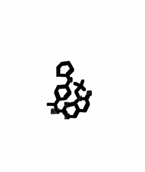 CC(Nc1ncc2ccc(=O)n(CC(C)(C)C)c2n1)c1ccc(Oc2ccccc2)cc1